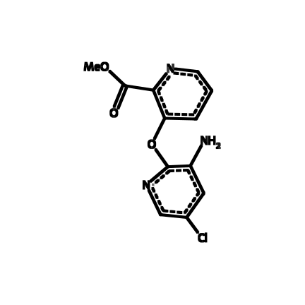 COC(=O)c1ncccc1Oc1ncc(Cl)cc1N